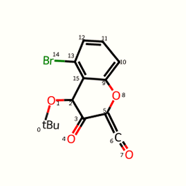 CC(C)(C)OC1C(=O)C(=C=O)Oc2cccc(Br)c21